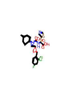 CC1CCC(N(CCOCc2ccc(F)cc2Cl)C(=O)NC(C(=O)O)S(=O)(=O)c2cncs2)CC1